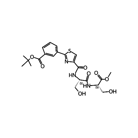 COC(=O)[C@H](CO)NC(=O)[C@H](CO)NC(=O)c1csc(-c2cccc(C(=O)OC(C)(C)C)c2)n1